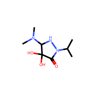 CC(C)N1NC(N(C)C)C(O)(O)C1=O